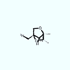 [3H]C[C@]12CO[C@@](C)([C@H](C)O1)[C@H]2[3H]